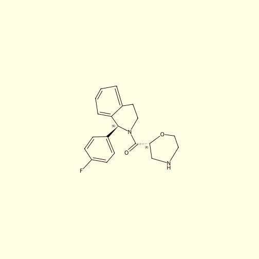 O=C([C@H]1CNCCO1)N1CCc2ccccc2[C@@H]1c1ccc(F)cc1